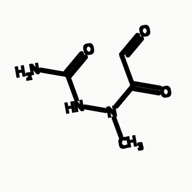 CN(NC(N)=O)C(=O)C=O